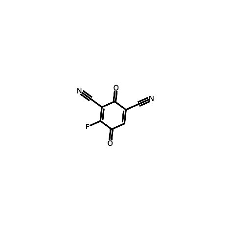 N#CC1=CC(=O)C(F)=C(C#N)C1=O